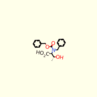 C[C@@H](O)[C@@H](C(=O)O)N(Cc1ccccc1)C(=O)OCc1ccccc1